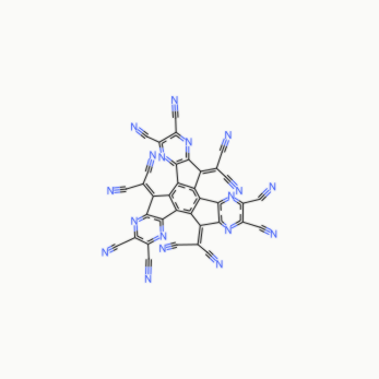 N#CC(C#N)=C1c2nc(C#N)c(C#N)nc2-c2c1c1c(c3c2C(=C(C#N)C#N)c2nc(C#N)c(C#N)nc2-3)C(=C(C#N)C#N)c2nc(C#N)c(C#N)nc2-1